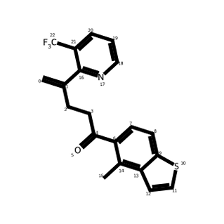 C=C(CCC(=O)c1ccc2sccc2c1C)c1ncccc1C(F)(F)F